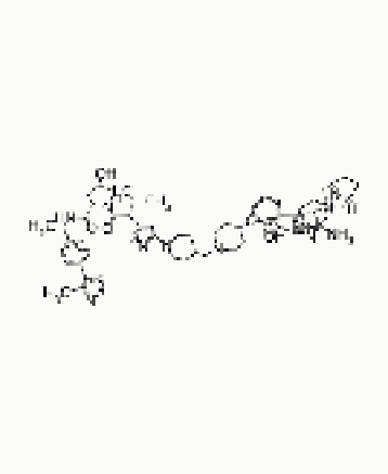 Cc1ncsc1-c1ccc([C@H](C)NC(=O)[C@@H]2C[C@@H](O)CN2C(=O)[C@@H](c2cc(N3CCC(CN4CCC(OC5CC(CN6CCC(N7C8CC[C@@H]7CN(c7cc(-c9ccccc9O)nnc7N)C8)CC6)C5)CC4)CC3)no2)C(C)C)cc1